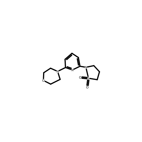 O=S1(=O)CCCN1c1cccc(N2CCOCC2)n1